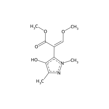 COC=C(C(=O)OC)c1c(O)c(C)nn1C